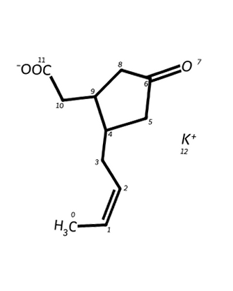 C/C=C\CC1CC(=O)CC1CC(=O)[O-].[K+]